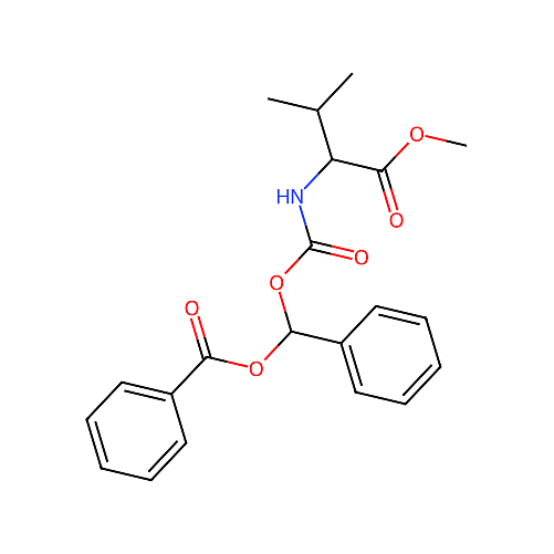 COC(=O)C(NC(=O)OC(OC(=O)c1ccccc1)c1ccccc1)C(C)C